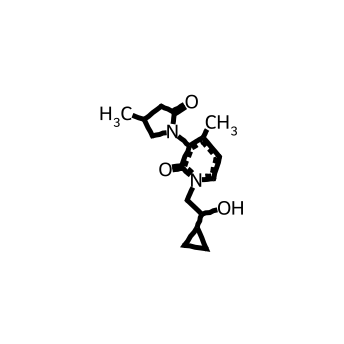 Cc1ccn(CC(O)C2CC2)c(=O)c1N1CC(C)CC1=O